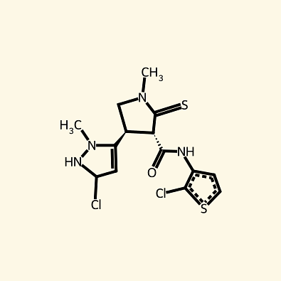 CN1C[C@H](C2=CC(Cl)NN2C)[C@@H](C(=O)Nc2ccsc2Cl)C1=S